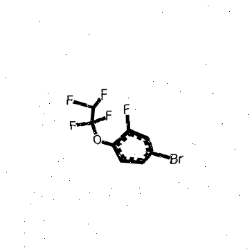 Fc1cc(Br)ccc1OC(F)(F)C(F)F